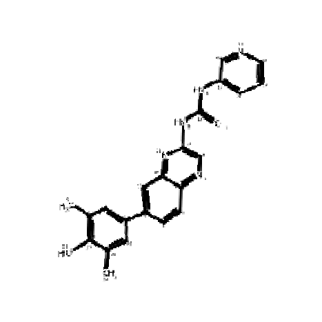 Cc1cc(-c2ccc3ncc(NC(=O)Nc4cccnc4)nc3c2)cc(C)c1O